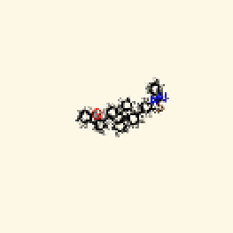 c1ccc([Si](c2ccccc2)(c2cccc(-c3ccc4c(c3)CSc3nc5ccccc5n3-4)c2)c2cccc(-c3cccc4c3oc3ccccc34)c2)cc1